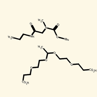 CC(OCCOCCC(=O)O)OCCOCCC(=O)O.CN(CC(=O)NCCN)C(=O)OC(C)(C)C